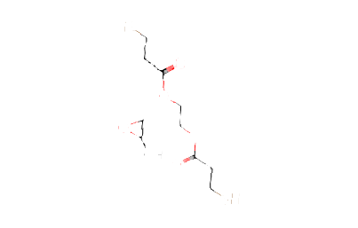 CC1CO1.O=C(CCS)OCCOC(=O)CCS